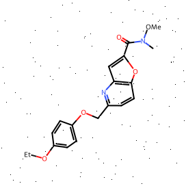 CCOc1ccc(OCc2ccc3oc(C(=O)N(C)OC)cc3n2)cc1